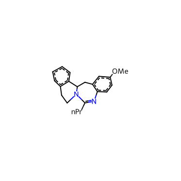 CCCC1=Nc2ccc(OC)cc2CC2c3ccccc3CCN12